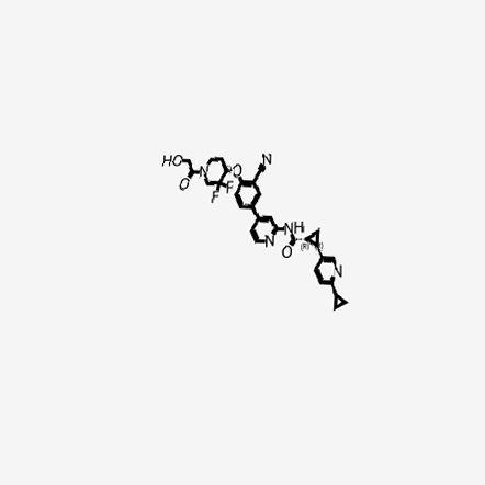 N#Cc1cc(-c2ccnc(NC(=O)[C@@H]3C[C@H]3c3ccc(C4CC4)nc3)c2)ccc1O[C@H]1CCN(C(=O)CO)CC1(F)F